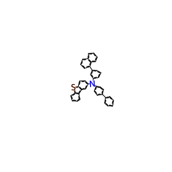 c1ccc(-c2ccc(N(c3cccc(-c4cccc5ccccc45)c3)c3ccc4sc5ccccc5c4c3)cc2)cc1